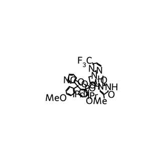 COc1ccc(C(OC[C@@]23CN(c4nccc(C(F)(F)F)n4)[C@@H]([C@H](n4cc(C)c(=O)[nH]c4=O)O2)[C@@H]3OP(OCCC#N)N(C(C)C)C(C)C)(c2ccccc2)c2ccc(OC)cc2)cc1